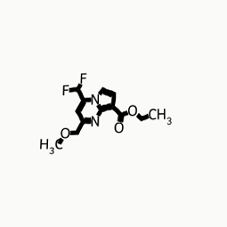 CCOC(=O)c1ccn2c(C(F)F)cc(COC)nc12